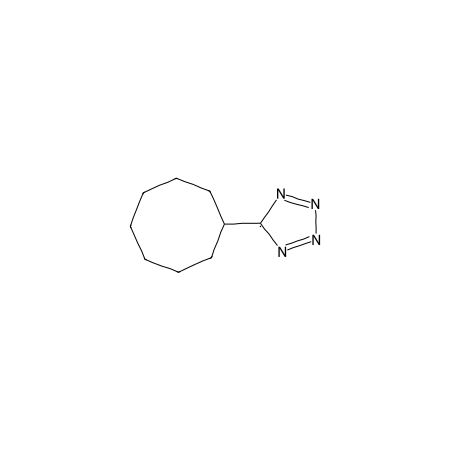 C1CCCC([C]2N=NN=N2)CCC1